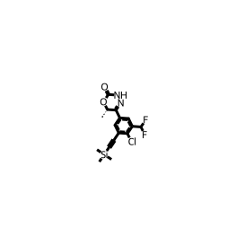 C[C@@H]1OC(=O)NN=C1c1cc(C#C[Si](C)(C)C)c(Cl)c(C(F)F)c1